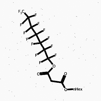 CCCCCCOC(=O)CC(=O)OC(F)(F)C(F)(F)C(F)(F)C(F)(F)C(F)(F)C(F)(F)C(F)(F)F